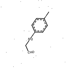 Cc1cc[c]([Mg][CH2]C=O)cc1